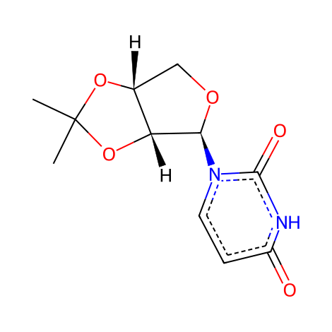 CC1(C)O[C@H]2[C@H](n3ccc(=O)[nH]c3=O)OC[C@H]2O1